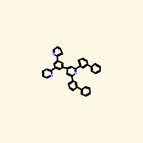 c1ccc(-c2cccc(-c3cc(-c4cc(-c5ccccn5)cc(-c5ccccn5)c4)cc(-c4cccc(-c5ccccc5)c4)n3)c2)cc1